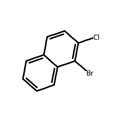 Clc1ccc2ccccc2c1Br